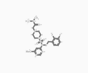 COc1cc(N(SCc2cccc(F)c2F)S(=O)(=O)N2CCN(CC(=O)N(C)C)CC2)ncn1